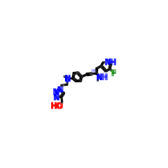 CN/C(C#Cc1ccc(N(C)CCn2cc(CO)nn2)cc1)=C\C1=CC(F)=CNC1